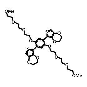 COCCOCCOCCOc1cc(-c2scc3c2OCCO3)c(OCCOCCOCCOC)cc1-c1scc2c1OCCO2